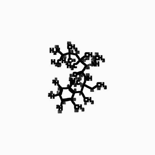 [2H]c1c([2H])c([2H])c(C(C)[C@](C)(CC)NC(=O)[C@@H](NC)C(C)(C)CC(C)(C)C(C)N)c(C)c1[2H]